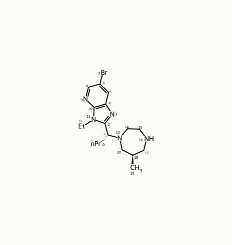 CCC[C@H](c1nc2cc(Br)cnc2n1CC)N1CCNC[C@@H](C)C1